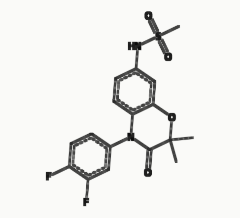 CC1(C)Oc2cc(NS(C)(=O)=O)ccc2N(c2ccc(F)c(F)c2)C1=O